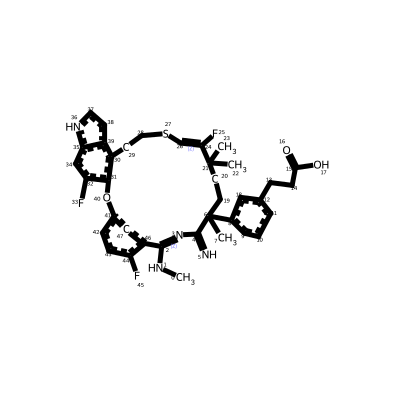 CN/C1=N\C(=N)C(C)(c2cccc(CCC(=O)O)c2)CCC(C)(C)/C(F)=C/SCCc2c(c(F)cc3[nH]ccc23)Oc2ccc(F)c1c2